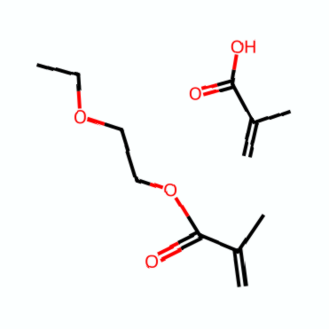 C=C(C)C(=O)O.C=C(C)C(=O)OCCOCC